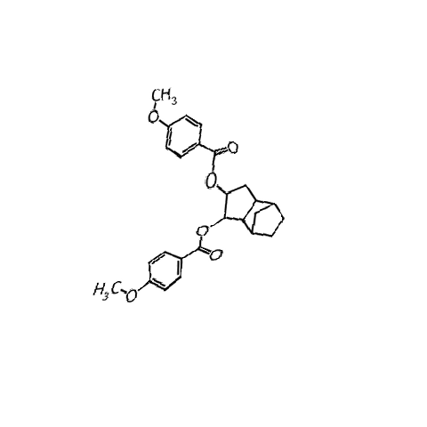 COc1ccc(C(=O)OC2CC3C4CCC(C4)C3C2OC(=O)c2ccc(OC)cc2)cc1